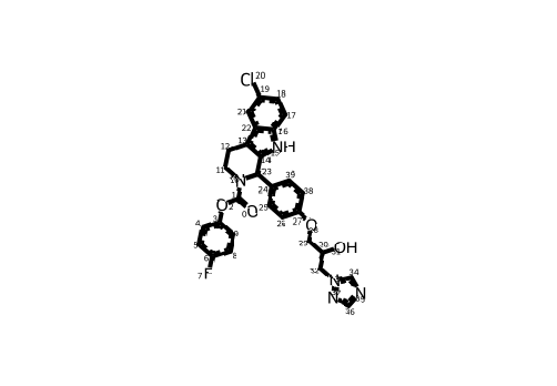 O=C(Oc1ccc(F)cc1)N1CCc2c([nH]c3ccc(Cl)cc23)C1c1ccc(OCC(O)Cn2cncn2)cc1